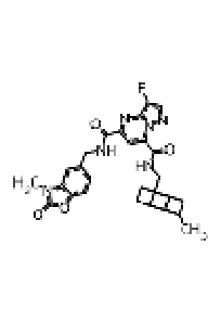 Cn1c(=O)oc2ccc(CNC(=O)c3cc(C(=O)NCC45C6C7C4C4C5C6C74C)n4ncc(F)c4n3)cc21